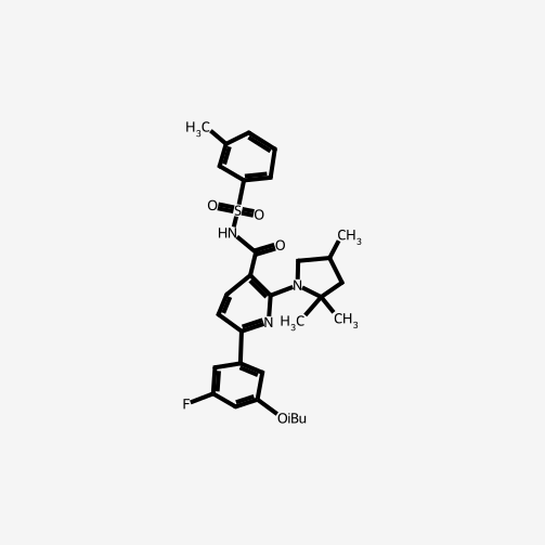 Cc1cccc(S(=O)(=O)NC(=O)c2ccc(-c3cc(F)cc(OCC(C)C)c3)nc2N2CC(C)CC2(C)C)c1